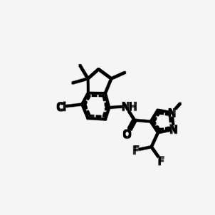 CC1CC(C)(C)c2c(Cl)ccc(NC(=O)c3cn(C)nc3C(F)F)c21